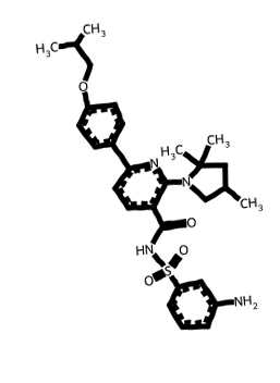 CC(C)COc1ccc(-c2ccc(C(=O)NS(=O)(=O)c3cccc(N)c3)c(N3CC(C)CC3(C)C)n2)cc1